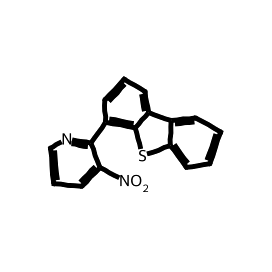 O=[N+]([O-])c1cccnc1-c1cccc2c1sc1ccccc12